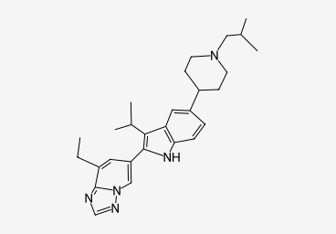 CCc1cc(-c2[nH]c3ccc(C4CCN(CC(C)C)CC4)cc3c2C(C)C)cn2ncnc12